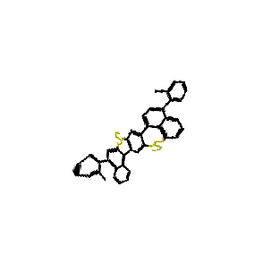 Cc1ccccc1-c1ccc2c3c(cccc13)Sc1cc3c(cc1-2)sc1cc(-c2ccccc2C)c2ccccc2c13